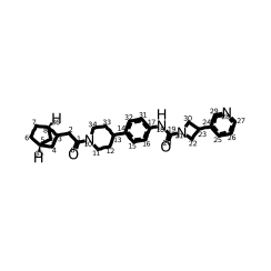 O=C(CC1C[C@@H]2CC[C@H]1C2)N1CCC(c2ccc(NC(=O)N3CC(c4cccnc4)C3)cc2)CC1